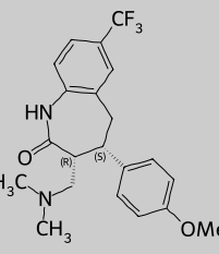 COc1ccc([C@H]2Cc3cc(C(F)(F)F)ccc3NC(=O)[C@H]2CN(C)C)cc1